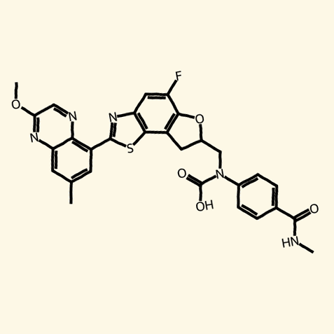 CNC(=O)c1ccc(N(CC2Cc3c(c(F)cc4nc(-c5cc(C)cc6nc(OC)cnc56)sc34)O2)C(=O)O)cc1